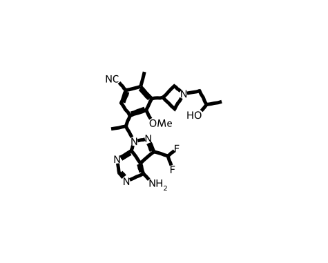 COc1c(C(C)n2nc(C(F)F)c3c(N)ncnc32)cc(C#N)c(C)c1C1CN(CC(C)O)C1